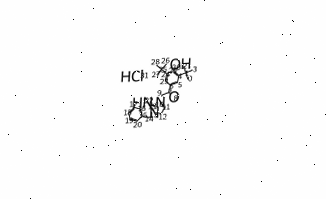 CC(C)(C)c1cc(C(=O)CN2CCN(Cc3ccccc3)C2=N)cc(C(C)(C)C)c1O.Cl